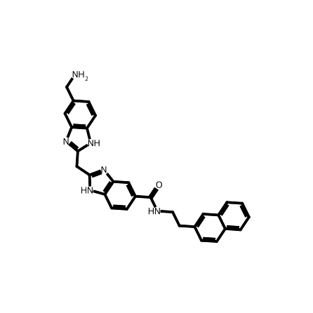 NCc1ccc2[nH]c(Cc3nc4cc(C(=O)NCCc5ccc6ccccc6c5)ccc4[nH]3)nc2c1